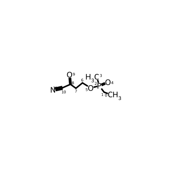 CCP(C)(=O)OCCC(=O)C#N